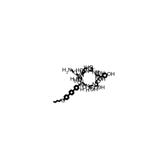 CCCCCOc1ccc(-c2ccc(-c3ccc(C(=O)N[C@H]4C[C@@H](O)C(N(N)CCOCCN)NC(=O)C5[C@@H](O)[C@@H](C)CN5C(=O)C([C@@H](C)O)NC(=O)C([C@H](O)[C@@H](O)C5=CCC(O)C=C5)NC(=O)C5C[C@@H](O)CN5C(=O)C([C@@H](C)O)NC4=O)cc3)cc2)cc1